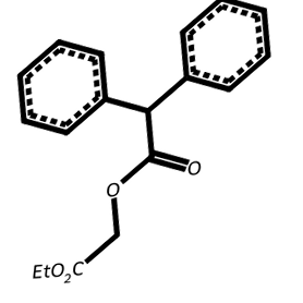 CCOC(=O)COC(=O)C(c1ccccc1)c1ccccc1